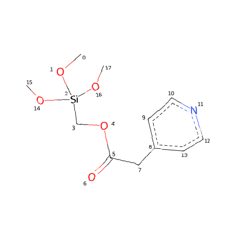 CO[Si](COC(=O)Cc1ccncc1)(OC)OC